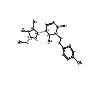 Cc1ccc(CCN2C(=O)C=CN([C@@H]3O[C@H](CO)C(O)C3O)C2O)cc1